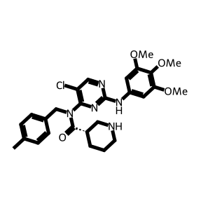 COc1cc(Nc2ncc(Cl)c(N(Cc3ccc(C)cc3)C(=O)[C@H]3CCCNC3)n2)cc(OC)c1OC